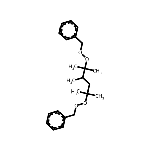 CC(CC(C)(C)OOCc1ccccc1)C(C)(C)OOCc1ccccc1